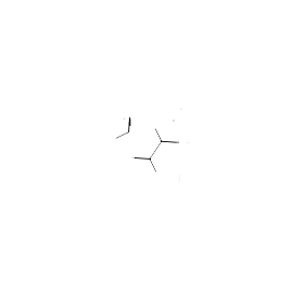 O=C(O)C(O)C(O)C(=O)O.O=C(O)CO.[KH].[KH]